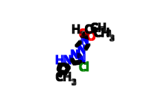 Cc1ccc(Nc2cc(Cl)nc(N3CCN(C(=O)OC(C)(C)C)CC3)n2)cc1